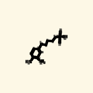 Nc1ccc(OCCCCS(=O)(=O)O)cc1N